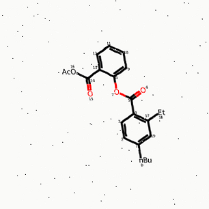 CCCCc1ccc(C(=O)Oc2ccccc2C(=O)OC(C)=O)c(CC)c1